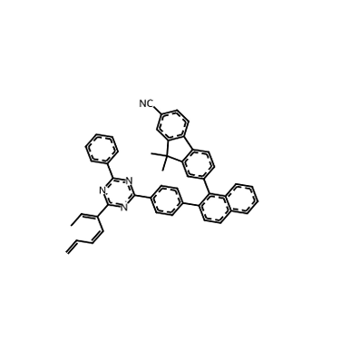 C=C/C=C\C(=C/C)c1nc(-c2ccccc2)nc(-c2ccc(-c3ccc4ccccc4c3-c3ccc4c(c3)C(C)(C)c3cc(C#N)ccc3-4)cc2)n1